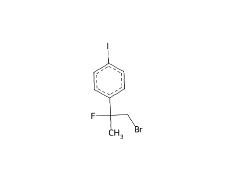 CC(F)(CBr)c1ccc(I)cc1